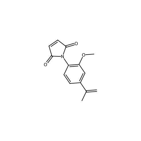 C=C(C)c1ccc(N2C(=O)C=CC2=O)c(OC)c1